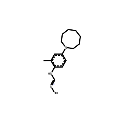 Cc1cc(N2CCCCCCC2)ccc1N/C=N/O